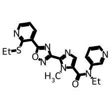 CCSc1ncccc1-c1nc(-c2ncc(C(=O)N(CC)c3cccnc3)n2C)no1